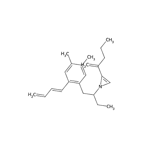 C=C/C=C/c1cc(C)c(C)cc1CC(CC)N1C=C1C(=C)CCC